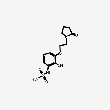 N#Cc1c(NS(N)(=O)=O)cccc1OCCN1CCCC1=O